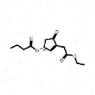 CCCC(=O)O[C@H]1C=C(CC(=O)OCC)C(=O)C1